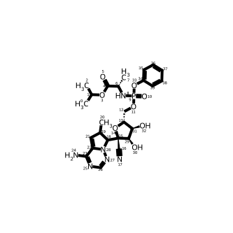 CC(C)OC(=O)[C@H](C)NP(=O)(OC[C@H]1O[C@@](C#N)(C2C(C)C=C3C(N)=NC=NN32)[C@H](O)[C@@H]1O)Oc1ccccc1